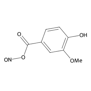 COc1cc(C(=O)ON=O)ccc1O